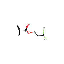 C=C(C)C(=O)OC[CH]C(F)F